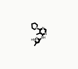 Cc1cc(Nc2ncnc(N3CCCCC3)c2C)n[nH]1